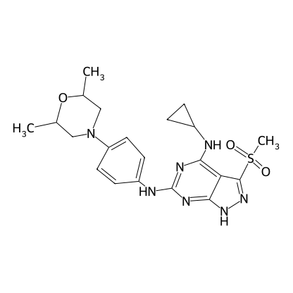 CC1CN(c2ccc(Nc3nc(NC4CC4)c4c(S(C)(=O)=O)n[nH]c4n3)cc2)CC(C)O1